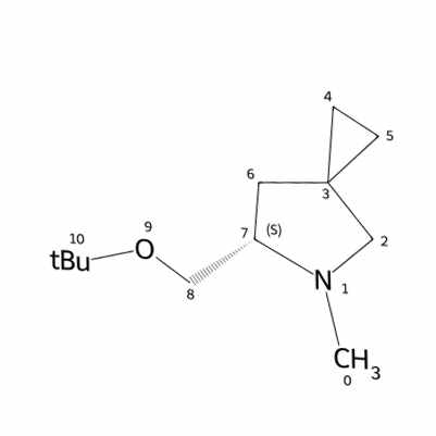 CN1CC2(CC2)C[C@H]1COC(C)(C)C